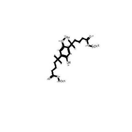 CCCCCCCCOC(=O)CCCC(C)(C)c1cc(OCCCC)c(C(C)(C)CCCC(=O)OCCCCCCCC)cc1O